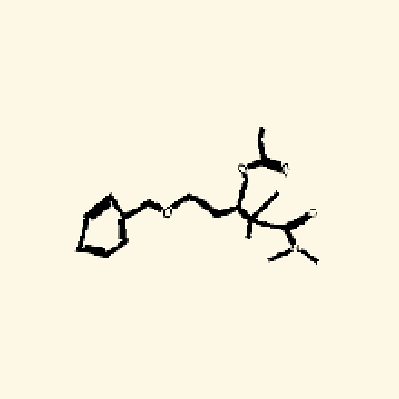 CC(=O)OC(CCOCc1ccccc1)C(C)(C)C(=O)N(C)C